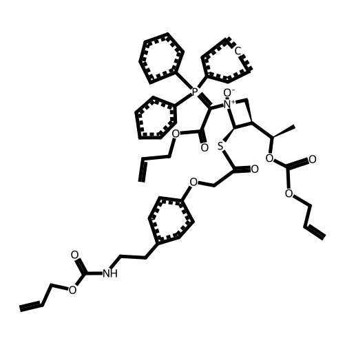 C=CCOC(=O)NCCc1ccc(OCC(=O)S[C@@H]2[C@H]([C@@H](C)OC(=O)OCC=C)C[N+]2([O-])C(C(=O)OCC=C)=P(c2ccccc2)(c2ccccc2)c2ccccc2)cc1